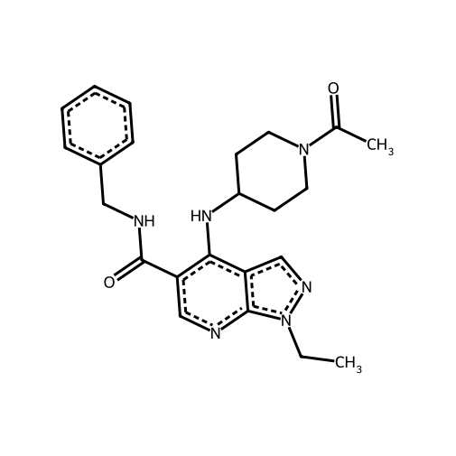 CCn1ncc2c(NC3CCN(C(C)=O)CC3)c(C(=O)NCc3ccccc3)cnc21